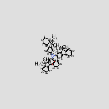 CC1(C)c2ccccc2-c2ccc(N(c3ccc4c(c3)C(C)(C)c3ccccc3-4)c3cc4c(cc3-c3ccccc3)-c3ccccc3C4(C)C)cc21